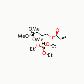 C=CC(=O)OCCC[Si](OC)(OC)OC.CCO[SiH](OCC)OCC